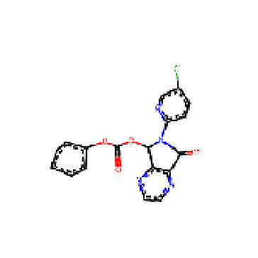 O=C(Oc1ccccc1)OC1c2nccnc2C(=O)N1c1ccc(Cl)cn1